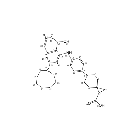 O=C(O)C1CC12CCN(c1ccc(Nc3nc(N4CCCCCCC4)nc4c3C(O)NN=C4)cc1)CC2